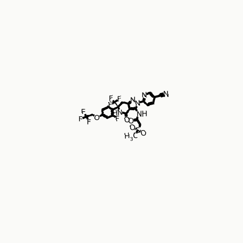 CS(=O)(=O)CC(=O)Nc1c2c(nn1-c1ccc(C#N)cn1)C[C@](c1ccc(OCC(F)(F)F)cc1F)(C(F)(F)F)NC2=O